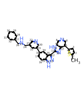 Cc1ccc(-c2cncc3[nH]c(-c4n[nH]c5ccc(-c6cncc(CNCc7ccccc7)c6)cc45)nc23)s1